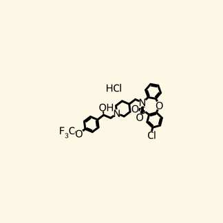 Cl.O=S1(=O)c2cc(Cl)ccc2Oc2ccccc2N1CC1CCN(C[C@H](O)c2ccc(OC(F)(F)F)cc2)CC1